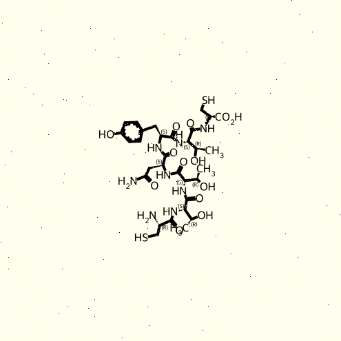 C[C@@H](O)[C@H](NC(=O)[C@H](Cc1ccc(O)cc1)NC(=O)[C@H](CC(N)=O)NC(=O)[C@@H](NC(=O)[C@@H](NC(=O)[C@@H](N)CS)[C@@H](C)O)[C@@H](C)O)C(=O)N[C@@H](CS)C(=O)O